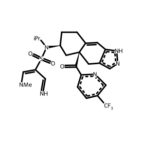 CN/C=C(\C=N)S(=O)(=O)N(C(C)C)[C@H]1CCC2=Cc3[nH]ncc3C[C@]2(C(=O)c2ccc(C(F)(F)F)cn2)C1